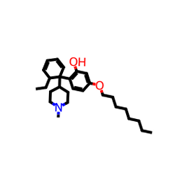 CCCCCCCCOc1ccc(C2(C3CCN(C)CC3)C=CC=CC2CC)c(O)c1